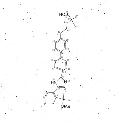 C/C=N\C(=C(/C)C(C)(C)OC)c1cnc(-c2ccc(-c3ccc(CCCC(C)(C)C(=O)O)cc3)nc2)[nH]1